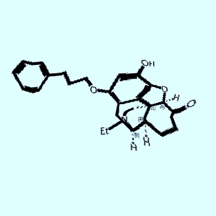 CCN1CC[C@]23c4c5c(OCCCc6ccccc6)cc(O)c4O[C@H]2C(=O)CC[C@H]3[C@H]1C5